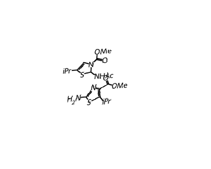 COC(=O)N1C=C(C(C)C)SC1NC(C)=O.COC(=O)c1nc(N)sc1C(C)C